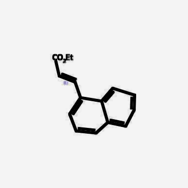 CCOC(=O)/C=C/c1cccc2ccccc12